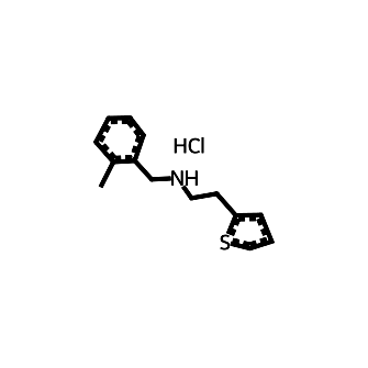 Cc1ccccc1CNCCc1cccs1.Cl